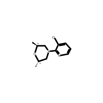 C[C@H]1CN(c2ncccc2Cl)C[C@H](C)O1